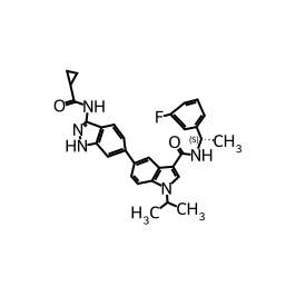 CC(C)n1cc(C(=O)N[C@@H](C)c2cccc(F)c2)c2cc(-c3ccc4c(NC(=O)C5CC5)n[nH]c4c3)ccc21